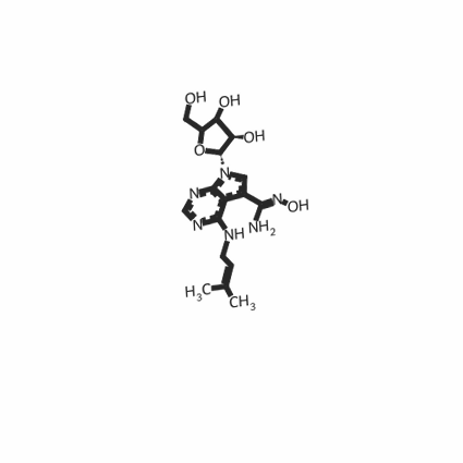 CC(C)=CCNc1ncnc2c1c(/C(N)=N/O)cn2[C@@H]1OC(CO)C(O)[C@H]1O